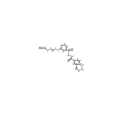 COCCOCCc1cccc(C(=O)CCC(=O)c2ccc3c(c2)OCCC3)c1